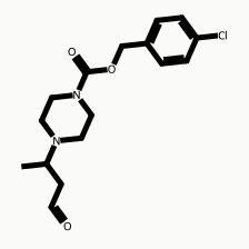 CC(CC=O)N1CCN(C(=O)OCc2ccc(Cl)cc2)CC1